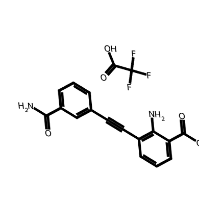 NC(=O)c1cccc(C#Cc2cccc(C(=O)O)c2N)c1.O=C(O)C(F)(F)F